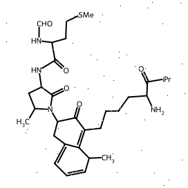 CSCCC(NC=O)C(=O)NC1CC(C)N(C2CC3=CC=CC(C)C3=C(CCCCC(N)C(=O)C(C)C)C2=O)C1=O